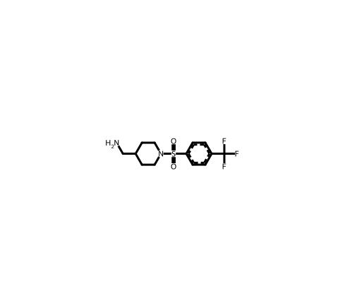 NCC1CCN(S(=O)(=O)c2ccc(C(F)(F)F)cc2)CC1